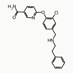 NC(=O)c1ccc(Oc2ccc(CNCCc3ccccc3)cc2Cl)nc1